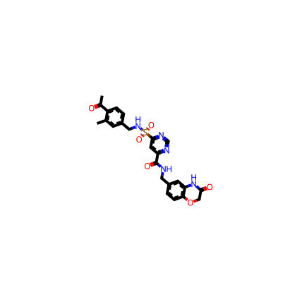 CC(=O)c1ccc(CNS(=O)(=O)c2cc(C(=O)NCc3ccc4c(c3)NC(=O)CO4)ncn2)cc1C